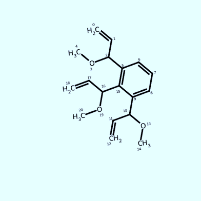 C=CC(OC)c1cccc(C(C=C)OC)c1C(C=C)OC